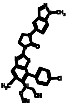 Cc1cc2nc(N3CCN(c4ccc5c(cnn5C)c4)C3=O)sc2c(-c2ccc(Cl)cc2)c1[C@@H](CO)OC(C)(C)C